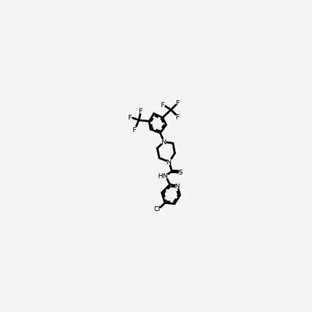 FC(F)(F)c1cc(N2CCN(C(=S)Nc3cc(Cl)ccn3)CC2)cc(C(F)(F)F)c1